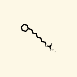 O=C(OCCCCCCCC1CCCCC1)C(Cl)(Cl)Cl